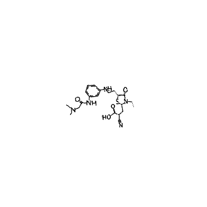 CCN1C(=O)C(CCNc2cccc(NC(=O)CN(C)C)c2)SC1CC(C#N)C(=O)O